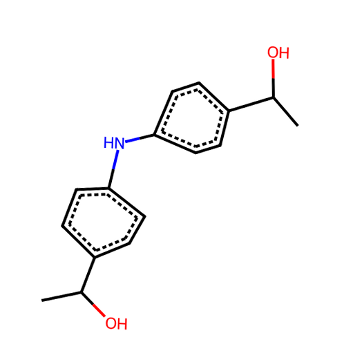 CC(O)c1ccc(Nc2ccc(C(C)O)cc2)cc1